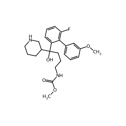 COC(=O)NCCCC(O)(c1cccc(F)c1-c1cccc(OC)c1)C1CCCNC1